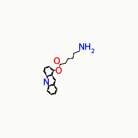 NCCCCCC(=O)Oc1cccc2nc3ccccc3cc12